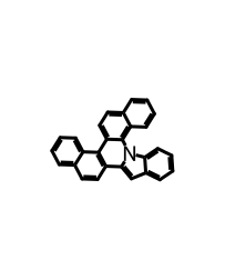 c1ccc2c(c1)ccc1c2c2ccc3ccccc3c2n2c3ccccc3cc12